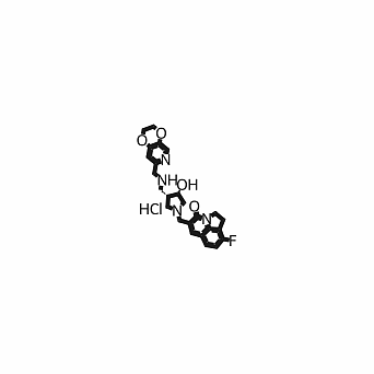 Cl.O=c1c(CN2C[C@H](CNCc3cc4c(cn3)OCCO4)[C@H](O)C2)cc2ccc(F)c3c2n1CC3